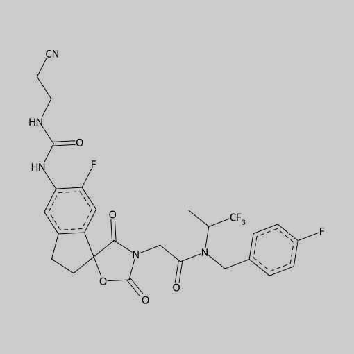 CC(N(Cc1ccc(F)cc1)C(=O)CN1C(=O)OC2(CCc3cc(NC(=O)NCCC#N)c(F)cc32)C1=O)C(F)(F)F